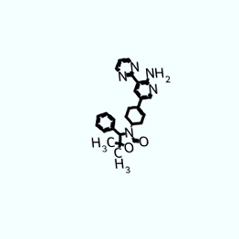 CC1(C)OC(=O)N([C@H]2CC=C(c3cnc(N)c(-c4ncccn4)c3)CC2)C1c1ccccc1